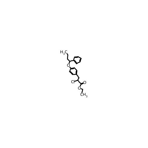 CCCC(Oc1ccc(CC(Cl)C(=O)OCC)cc1)c1ccccc1